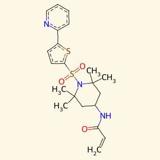 C=CC(=O)NC1CC(C)(C)N(S(=O)(=O)c2ccc(-c3ccccn3)s2)C(C)(C)C1